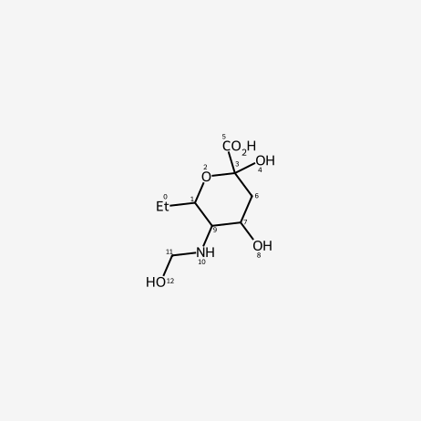 CCC1OC(O)(C(=O)O)CC(O)C1NCO